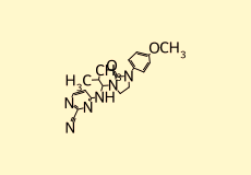 COc1ccc(N2CCN(C(Nc3ccnc(C#N)n3)C(C)C)C2=O)cc1